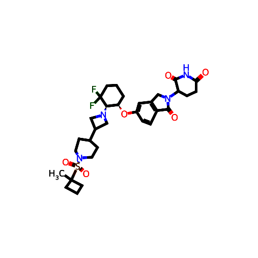 CC1(S(=O)(=O)N2CCC(C3CN([C@H]4[C@@H](Oc5ccc6c(c5)CN(C5CCC(=O)NC5=O)C6=O)CCCC4(F)F)C3)CC2)CCC1